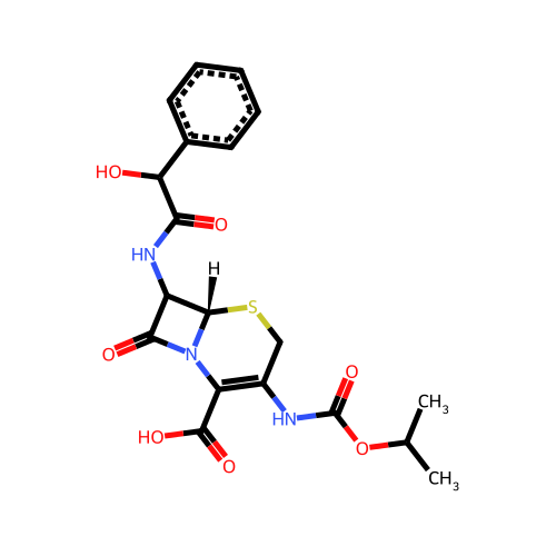 CC(C)OC(=O)NC1=C(C(=O)O)N2C(=O)C(NC(=O)C(O)c3ccccc3)[C@@H]2SC1